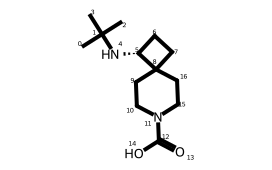 CC(C)(C)N[C@@H]1CCC12CCN(C(=O)O)CC2